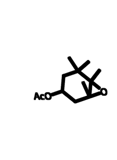 CC(=O)OC1CC(C)(C)C2(C)OC2(C)C1